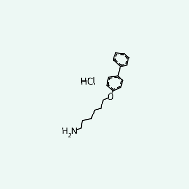 Cl.NCCCCCCOc1ccc(-c2ccccc2)cc1